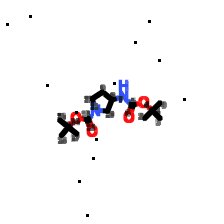 CC(C)(C)OC(=O)NC1CCN(C(=O)OC(C)(C)C)C1